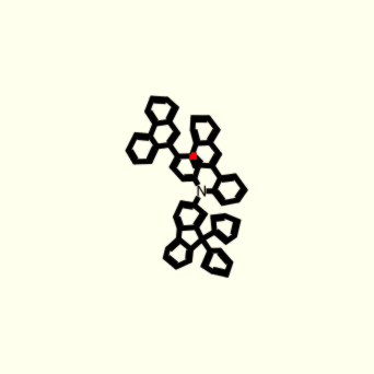 c1ccc(C2(c3ccccc3)c3ccccc3-c3ccc(N(c4ccc(-c5cc6ccccc6c6ccccc56)cc4)c4ccccc4-c4ccc5ccccc5c4)cc32)cc1